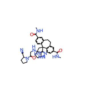 CNC(=O)c1ccc2c(c1)CCc1cc(C(=O)NC)ccc1C2(CC1(NCC(=O)N2CCCC2C#N)CCCC1)c1nnn[nH]1